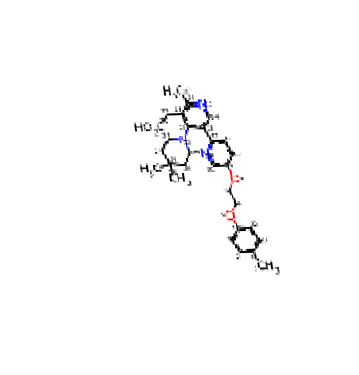 Cc1ccc(OCCOc2ccc(-c3cnc(C)c(CC(=O)O)c3N3CCC(C)(C)CC3)nc2)cc1